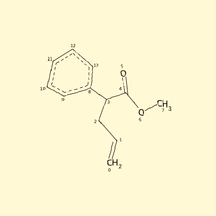 C=CCC(C(=O)OC)c1ccccc1